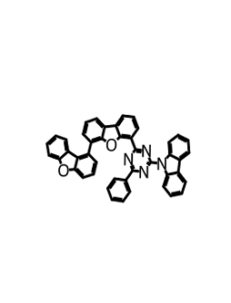 c1ccc(-c2nc(-c3cccc4c3oc3c(-c5cccc6oc7ccccc7c56)cccc34)nc(-n3c4ccccc4c4ccccc43)n2)cc1